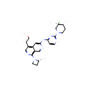 C[C@H](CO)c1cnc(N2CC[C@@H]2C)c2cnc(Nc3ccnc(N4CC[C@@H](O)[C@@](C)(F)C4)n3)cc12